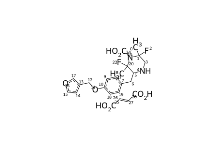 CC1(F)CNC(Cc2ccc(OCc3ccoc3)cc2)C(C)(F)N1C(=O)O.O=C(O)C=CC(=O)O